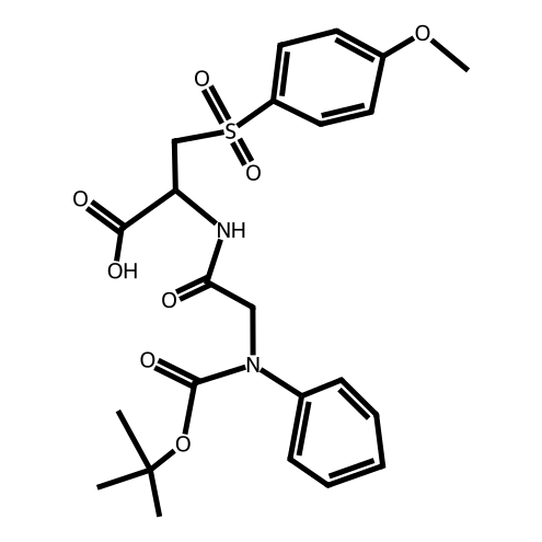 COc1ccc(S(=O)(=O)CC(NC(=O)CN(C(=O)OC(C)(C)C)c2ccccc2)C(=O)O)cc1